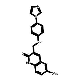 COc1ccc2[nH]c(=O)c(CNc3ccc(-n4ccnc4)cc3)cc2c1